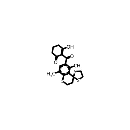 Cc1cc(C(=O)C2=C(O)CCCC2=O)c(C)c2c1SCCC21SCCS1